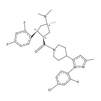 Cc1cc(C2CCN(C(=O)[C@@H]3C[C@](C)(N(C)C)C[C@@H]3c3ccc(F)cc3F)CC2)n(-c2ccc(Cl)cc2F)n1